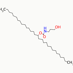 CCCCCCCCCCCCCCCC(CCCCCCCCCCCCCC)OC(=O)NCCCO